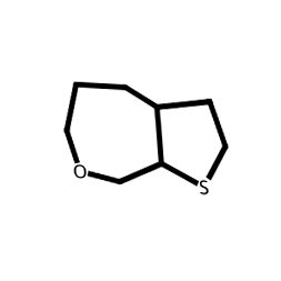 C1COCC2SCCC2C1